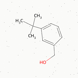 CC(C)(C)c1cccc(CO)c1